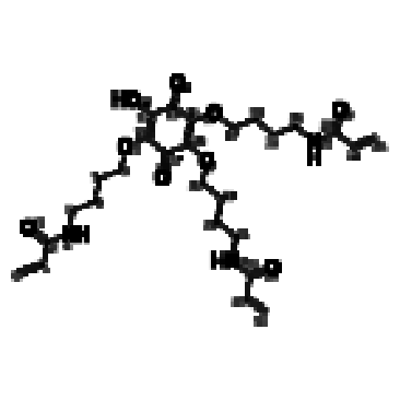 C=CC(=O)NCCCCOC1=C(O)C(=O)C(OCCCCNC(=O)C=C)=C(OCCCCNC(=O)C=C)C1=O